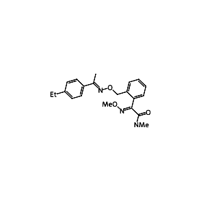 CCc1ccc(/C(C)=N/OCc2ccccc2/C(=N\OC)C(=O)NC)cc1